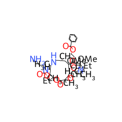 CCC(C(OC)[C@@H](OCCOC(=O)c1ccccc1)O[C@@H]1[C@@H](C)C(=O)[C@@H](C)C(=O)O[C@@H](CC)[C@@]2(C)OC(=O)N(CCCCN)[C@@H]2[C@@H](C)NC[C@H](C)C[C@@]1(C)OC)N(C)C